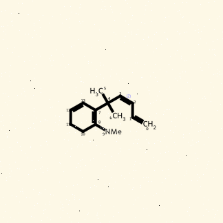 C=C/C=C\C(C)(C)C1=C(NC)CCC=C1